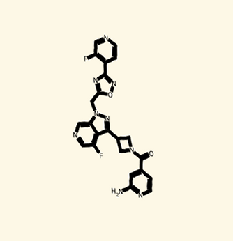 Nc1cc(C(=O)N2CC(c3nn(Cc4nc(-c5ccncc5F)no4)c4cncc(F)c34)C2)ccn1